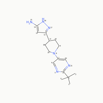 CC(C)(C)c1ncc(N2CCC(c3cc(N)[nH]n3)CC2)cn1